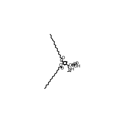 CCCCCCCCCCCCCCCC(=O)Oc1ccc(C(O)CNC(C)C)cc1OC(=O)CCCCCCCCCCCCCCC.CS(=O)(=O)O